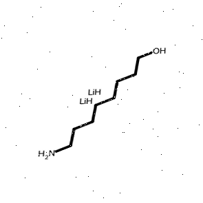 NCCCCCCCCO.[LiH].[LiH]